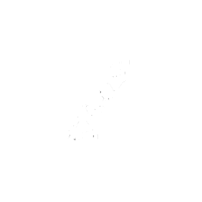 CC(C)(C)c1ccc(OC(=O)[C@H]2C[C@@H]2C(=O)c2cc(Cl)c3occc3c2)cc1